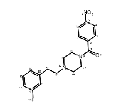 O=C(c1ccc([N+](=O)[O-])cc1)N1CCN(CCc2cccc(F)c2)CC1